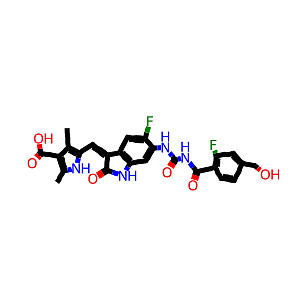 Cc1[nH]c(/C=C2\C(=O)Nc3cc(NC(=O)NC(=O)c4ccc(CO)cc4F)c(F)cc32)c(C)c1C(=O)O